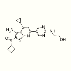 Nc1c([S+]([O-])C2CCC2)sc2nc(-c3cnc(NCCO)nc3)cc(C3CC3)c12